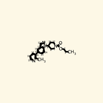 CCCOC(=O)N1CCC(n2ncc3cc(-c4cccnc4C)ccc32)CC1